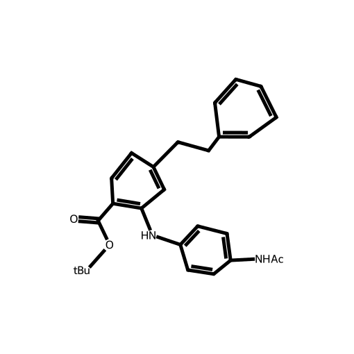 CC(=O)Nc1ccc(Nc2cc(CCc3ccccc3)ccc2C(=O)OC(C)(C)C)cc1